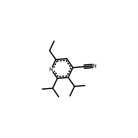 CCc1cc(C#N)c(C(C)C)c(C(C)C)n1